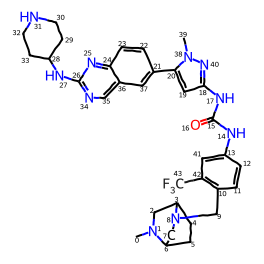 CN1CC2CCC1CN2Cc1ccc(NC(=O)Nc2cc(-c3ccc4nc(NC5CCNCC5)ncc4c3)n(C)n2)cc1C(F)(F)F